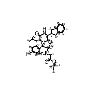 CC(C)C[C@@H]1C(=O)NC(C2Cc3ccccc3C2)C(=O)N1[C@@H](C(=O)N(C)CC(=O)OC(C)(C)C)c1ccc(F)cc1F